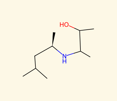 CC(C)C[C@@H](C)NC(C)C(C)O